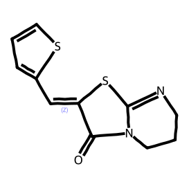 O=c1/c(=C/c2cccs2)sc2n1CCCN=2